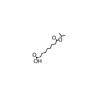 CC(C)OC(=O)CCCCCCCC(=O)O